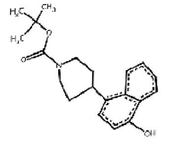 CC(C)(C)OC(=O)N1CCC(c2ccc(O)c3ccccc23)CC1